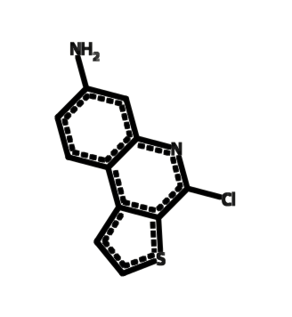 Nc1ccc2c(c1)nc(Cl)c1sccc12